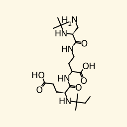 CCC(C)(C)N[C@@H](CCC(=O)O)C(=O)NC(CCNC(=O)[C@H](CN)NC(C)(C)C)C(=O)O